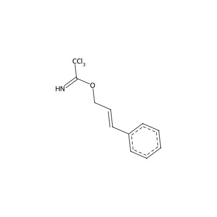 N=C(OCC=Cc1ccccc1)C(Cl)(Cl)Cl